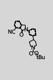 CC(C)(C)OC(=O)N1CCC(c2cccc(N3Cc4cccc(C#N)c4C3=O)c2)CC1